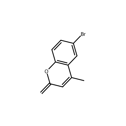 C=C1C=C(C)c2cc(Br)ccc2O1